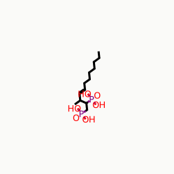 CCCCCCCC=CC(C)C(CP(=O)(O)O)P(=O)(O)O